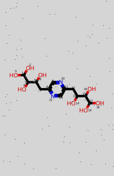 OC(O)C(O)C(O)Cc1cnc(CC(O)C(O)C(O)O)cn1